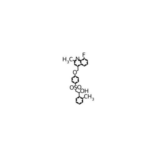 Cc1cc(COc2ccc(S(=O)(=O)CC(O)c3ccccc3C)cc2)c2cccc(F)c2n1